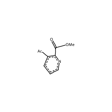 COC(=O)c1ncccc1C(C)=O